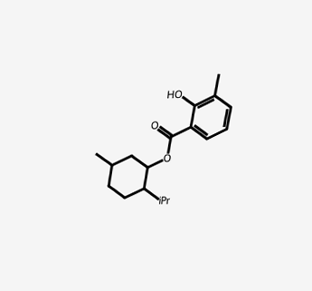 Cc1cccc(C(=O)OC2CC(C)CCC2C(C)C)c1O